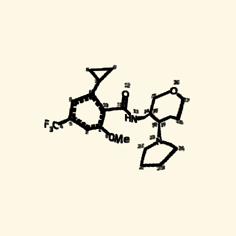 COc1cc(C(F)(F)F)cc(C2CC2)c1C(=O)N[C@H]1COCC[C@H]1N1CCCC1